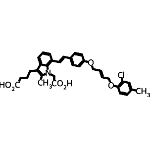 Cc1ccc(OC/C=C/COc2ccc(/C=C/c3cccc4c(CCCC(=O)O)c(C)n(CC(=O)O)c34)cc2)c(Cl)c1